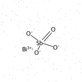 [Bi+3].[O]=[Sb]([O-])([O-])[O-]